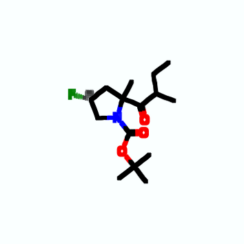 CCC(C)C(=O)C1(C)C[C@@H](F)CN1C(=O)OC(C)(C)C